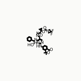 CC1(C)OC(=O)c2ccc(Nc3ncc(-c4nnc(C5(OC(=O)N6CC(F)(F)C6)CC5)o4)c(N[C@H](CO)c4ccccc4)n3)cc21